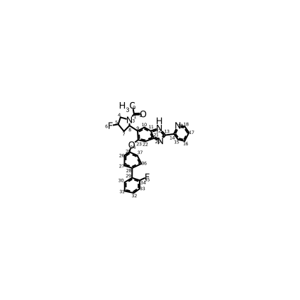 CC(=O)N1CC(F)CC1c1cc2[nH]c(-c3ccccn3)nc2cc1Oc1ccc(-c2ccccc2F)cc1